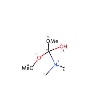 COOC(O)(OC)N(C)C